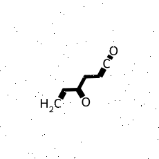 C=CC(=O)CC=C=O